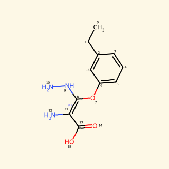 CCc1cccc(O/C(NN)=C(/N)C(=O)O)c1